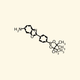 CC1(C)OB(c2ccc(-c3nc4ccc(N)cc4o3)cc2)OC1(C)C